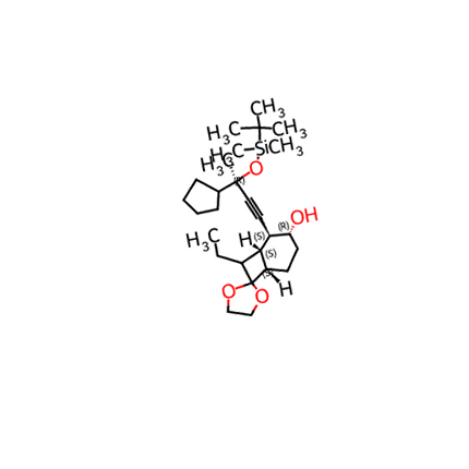 CCC1[C@@H]2[C@@H](C#C[C@](C)(O[Si](C)(C)C(C)(C)C)C3CCCC3)[C@H](O)CC[C@@H]2C12OCCO2